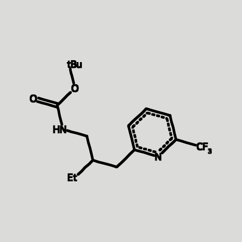 CCC(CNC(=O)OC(C)(C)C)Cc1cccc(C(F)(F)F)n1